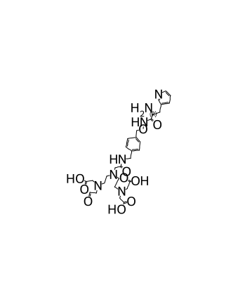 N[C@H](Cc1cccnc1)C(=O)NOCc1ccc(CNC(=O)CN(CCN(CC=O)CC(=O)O)CCN(CC(=O)O)CC(=O)O)cc1